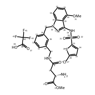 COC(=O)[C@@H](N)CC(=O)NCc1cccc(Cn2nc(NS(=O)(=O)c3ccc(Cl)s3)c3c(OC)cccc32)c1.O=C(O)C(F)(F)F